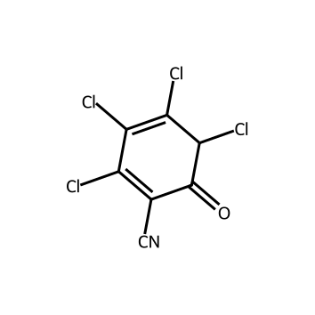 N#CC1=C(Cl)C(Cl)=C(Cl)C(Cl)C1=O